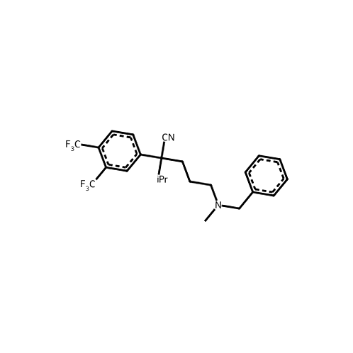 CC(C)C(C#N)(CCCN(C)Cc1ccccc1)c1ccc(C(F)(F)F)c(C(F)(F)F)c1